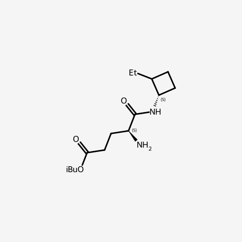 CCC1CC[C@@H]1NC(=O)[C@@H](N)CCC(=O)OCC(C)C